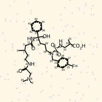 CC(CCNC(=O)CN(C)C)CC(=O)NC(O)(CCCN(Cc1ccc(F)cc1)S(=O)(=O)NCC(C)C(=O)O)c1ccccc1